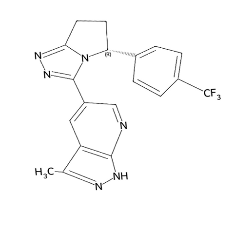 Cc1n[nH]c2ncc(-c3nnc4n3[C@@H](c3ccc(C(F)(F)F)cc3)CC4)cc12